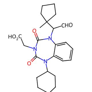 CC1(C(C=O)N2C(=O)N(CC(=O)O)C(=O)N(C3CCCCC3)c3ccccc32)CCCC1